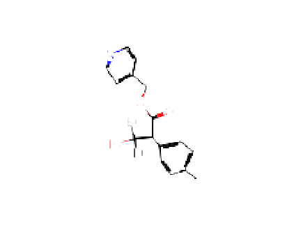 CCC(O)(CC)C(C(=O)OCc1ccncc1)c1ccc(C)cc1